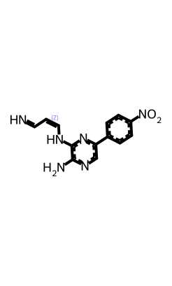 N=C/C=C\Nc1nc(-c2ccc([N+](=O)[O-])cc2)cnc1N